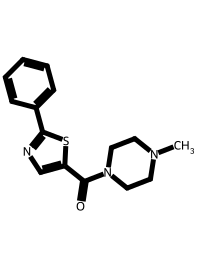 CN1CCN(C(=O)c2cnc(-c3ccccc3)s2)CC1